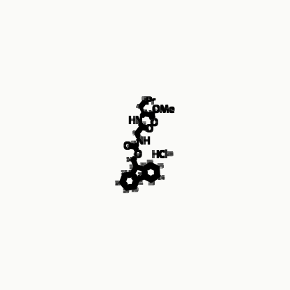 COC(=O)[C@H](CC(C)C)NC(=O)CNC(=O)OCC1c2ccccc2-c2ccccc21.Cl